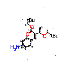 C=C(OCC(C)(C)C)/C(=C/c1ccc(N)cc1)C(=O)OCC(C)(C)C